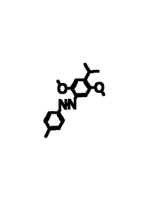 COc1cc(C(C)C)c(OC)cc1N=Nc1ccc(C)cc1